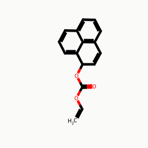 C=COC(=O)OC1C=Cc2cccc3cccc1c23